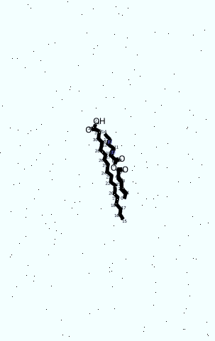 CC=CC=CC(=O)OC(=O)/C=C/C=C/C.CCCCCCCCCCCCCCCCCC(=O)O